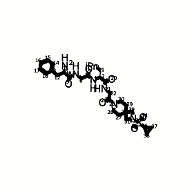 CC(C)C[C@@H](NC(=O)CNC(=O)[C@H](N)Cc1ccccc1)C(=O)NCC(=O)N1CCC2(CC1)CN(S(=O)(=O)C1CC1)C2